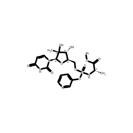 CC(C)OC(=O)[C@H](C)NP(=S)(OC[C@H]1O[C@@H](n2ccc(=O)[nH]c2=O)[C@](C)(O)[C@@H]1O)Oc1cccnc1